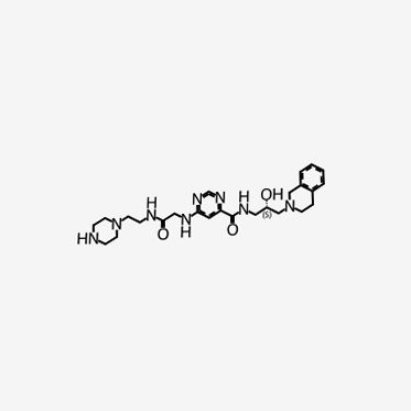 O=C(CNc1cc(C(=O)NC[C@H](O)CN2CCc3ccccc3C2)ncn1)NCCN1CCNCC1